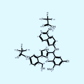 CCc1cc(OC)c(F)c(C(Nc2ccc3c(N)nccc3c2)c2nc(-c3ccccc3CO)c[nH]2)c1.O=C(O)C(F)(F)F.O=C(O)C(F)(F)F